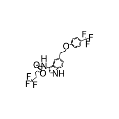 O=S(=O)(CCC(F)(F)F)Nc1c[nH]c2ccc(CCOc3ccc(C(F)(F)F)cc3)cc12